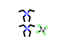 CC[N+](CC)(CC)CC.CC[N+](CC)(CC)CC.[Cl][Cu-2]([Cl])([Cl])[Cl]